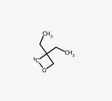 CCC1(CC)CO[8CH2]1